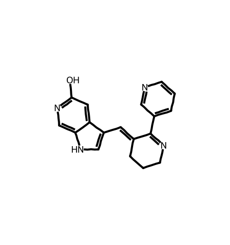 Oc1cc2c(/C=C3\CCCN=C3c3cccnc3)c[nH]c2cn1